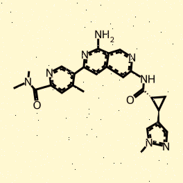 Cc1cc(C(=O)N(C)C)ncc1-c1cc2cc(NC(=O)[C@@H]3C[C@H]3c3cnn(C)c3)ncc2c(N)n1